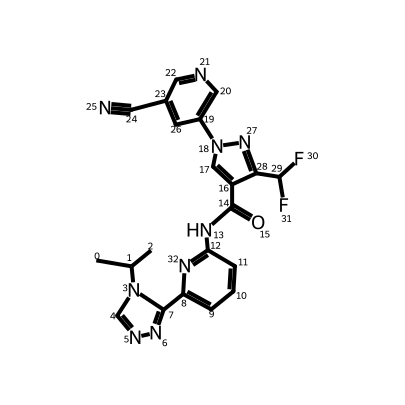 CC(C)n1cnnc1-c1cccc(NC(=O)c2cn(-c3cncc(C#N)c3)nc2C(F)F)n1